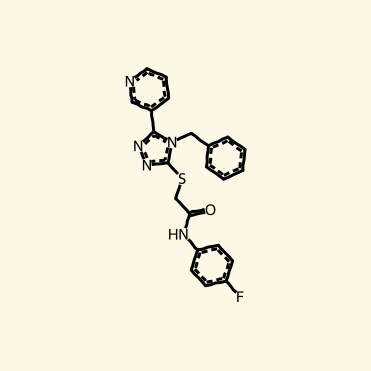 O=C(CSc1nnc(-c2cccnc2)n1Cc1ccccc1)Nc1ccc(F)cc1